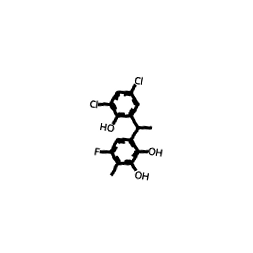 Cc1c(F)cc(C(C)c2cc(Cl)cc(Cl)c2O)c(O)c1O